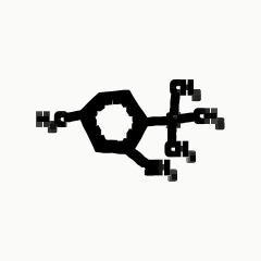 Cc1ccc([Si](C)(C)C)c([SiH3])c1